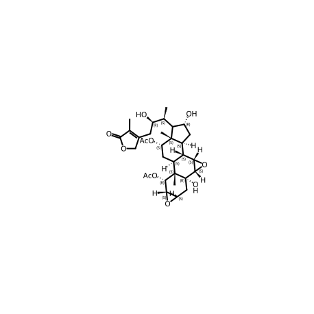 CC(=O)O[C@H]1C[C@H]2[C@@H]([C@@H]3O[C@@H]3[C@@]3(O)C[C@@H]4O[C@@H]4[C@H](OC(C)=O)[C@]23C)[C@@H]2C[C@@H](O)C([C@H](C)[C@H](O)CC3=C(C)C(=O)OC3)[C@@]12C